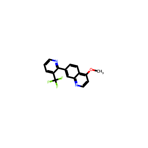 COc1ccnc2cc(-c3ncccc3C(F)(F)F)ccc12